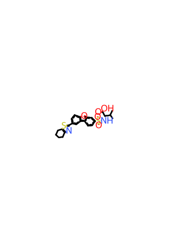 CC(C)[C@H](NS(=O)(=O)c1ccc2c(c1)oc1ccc(-c3nc4c(s3)CCCC4)cc12)C(=O)O